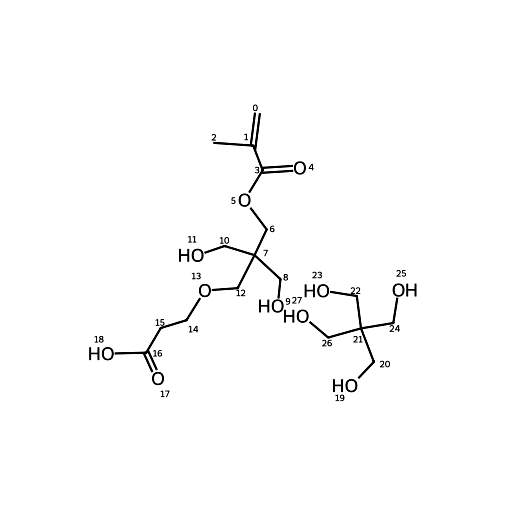 C=C(C)C(=O)OCC(CO)(CO)COCCC(=O)O.OCC(CO)(CO)CO